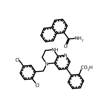 NC(=O)c1cccc2ccccc12.O=C(O)c1ccccc1-c1cnc2c(c1)N(Cc1cc(Cl)ccc1Cl)CCN2